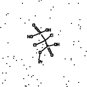 CC(C)OP(=O)(O)C(Cl)(Cl)P(=O)(O)O